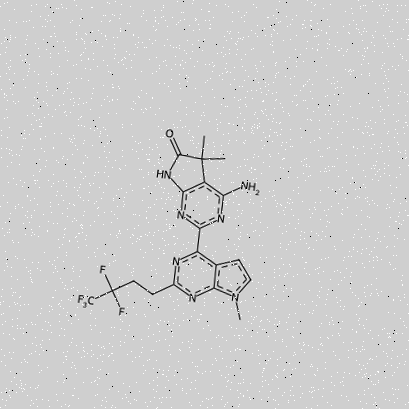 Cn1ccc2c(-c3nc(N)c4c(n3)NC(=O)C4(C)C)nc(CCC(F)(F)C(F)(F)F)nc21